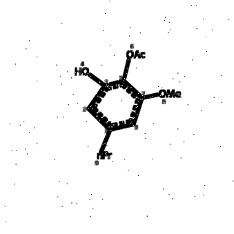 CCCc1cc(O)c(OC(C)=O)c(OC)c1